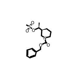 C[C@H](OS(C)(=O)=O)[C@H]1CCCN(C(=O)OCc2ccccc2)C1